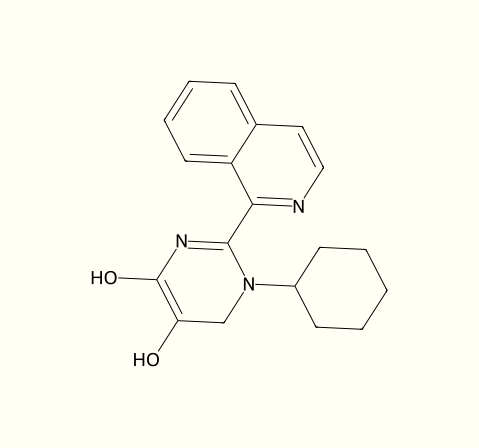 OC1=C(O)N=C(c2nccc3ccccc23)N(C2CCCCC2)C1